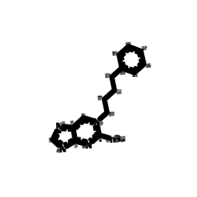 CCCCc1nc2ncnc-2[c]n1CCCCc1ccccc1